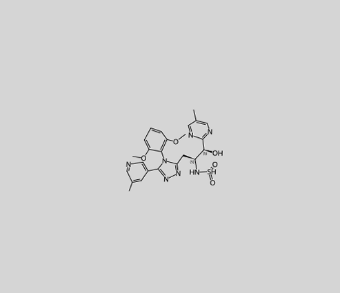 COc1cccc(OC)c1-n1c(C[C@H](N[SH](=O)=O)[C@H](O)c2ncc(C)cn2)nnc1-c1cncc(C)c1